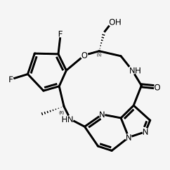 C[C@H]1Nc2ccn3ncc(c3n2)C(=O)NC[C@@H](CO)Oc2c(F)cc(F)cc21